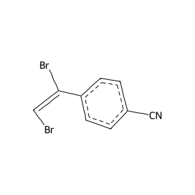 N#Cc1ccc(/C(Br)=C\Br)cc1